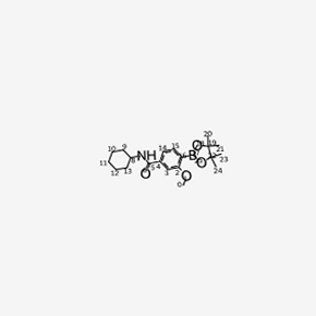 COc1cc(C(=O)NC2CCCCC2)ccc1B1OC(C)(C)C(C)(C)O1